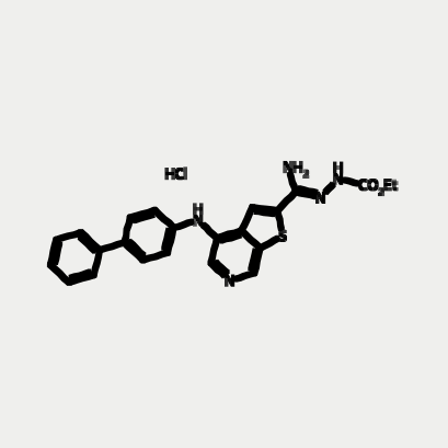 CCOC(=O)N/N=C(\N)c1cc2c(Nc3ccc(-c4ccccc4)cc3)cncc2s1.Cl